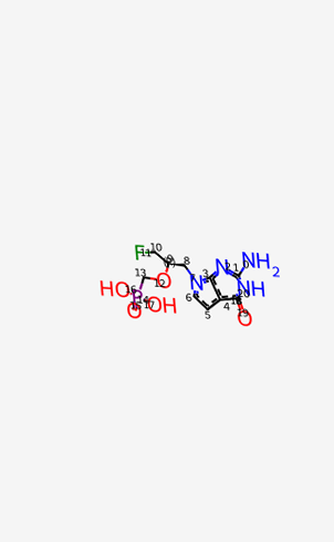 Nc1nc2c(ccn2C[C@H](CF)OCP(=O)(O)O)c(=O)[nH]1